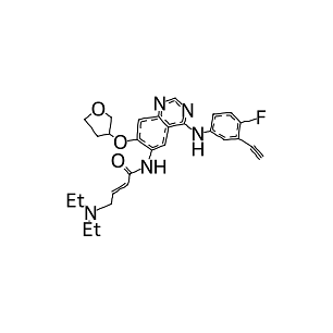 C#Cc1cc(Nc2ncnc3cc(OC4CCOC4)c(NC(=O)/C=C/CN(CC)CC)cc23)ccc1F